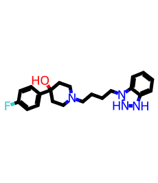 OC1(c2ccc(F)cc2)CCN(CCCCN2NNc3ccccc32)CC1